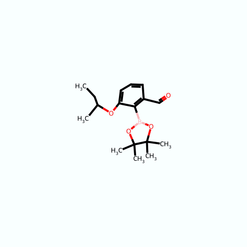 CCC(C)Oc1cccc(C=O)c1B1OC(C)(C)C(C)(C)O1